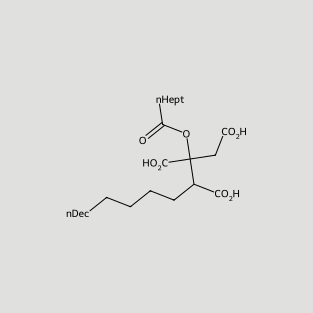 CCCCCCCCCCCCCCC(C(=O)O)C(CC(=O)O)(OC(=O)CCCCCCC)C(=O)O